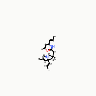 CC=CC(C=CC)NC(=O)CC(C)(C)CC(C=CC)(C=CC)NC